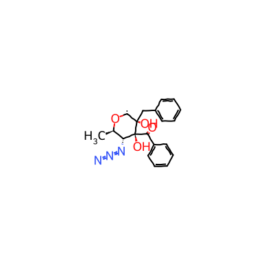 C[C@H]1O[CH][C@](O)(Cc2ccccc2)[C@](O)(C(=O)c2ccccc2)[C@@H]1N=[N+]=[N-]